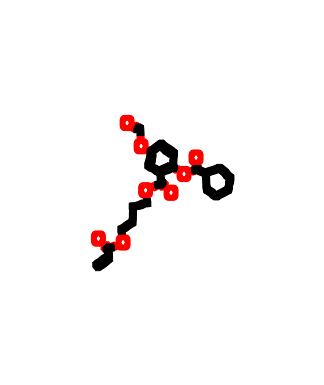 C=CC(=O)OCCCCOC(=O)c1cc(OC=O)ccc1OC(=O)C1CCCCC1